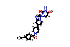 CC(C)(C)c1ccc(C(=O)N2CC=C(c3ccn4c(N5CCC(=O)NC5=O)cnc4c3)CC2)cc1